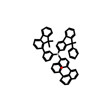 CC1(C)c2ccccc2-c2cccc(-c3cccc(N(c4ccc(-c5cccc6cccc(-c7ccccc7)c56)cc4)c4ccc5c(c4)C(C)(c4ccccc4)c4ccccc4-5)c3)c21